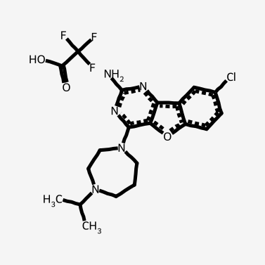 CC(C)N1CCCN(c2nc(N)nc3c2oc2ccc(Cl)cc23)CC1.O=C(O)C(F)(F)F